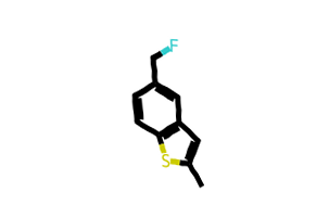 Cc1cc2cc(CF)ccc2s1